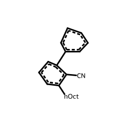 CCCCCCCCc1cccc(-c2ccccc2)c1C#N